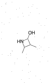 CC1NC(O)C1C